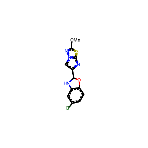 COc1nn2cc(C3Nc4cc(Cl)ccc4O3)nc2s1